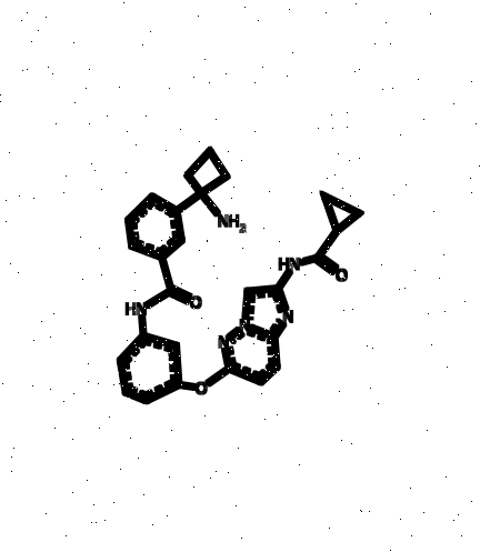 NC1(c2cccc(C(=O)Nc3cccc(Oc4ccc5nc(NC(=O)C6CC6)cn5n4)c3)c2)CCC1